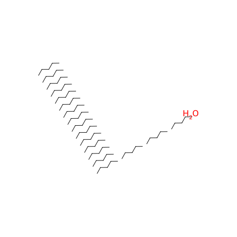 CCCCC.CCCCC.CCCCC.CCCCC.CCCCC.CCCCC.CCCCC.CCCCC.CCCCC.CCCCC.CCCCC.CCCCC.CCCCC.CCCCC.CCCCC.CCCCC.CCCCC.CCCCC.O